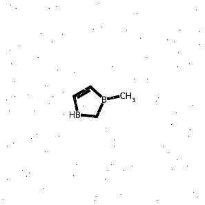 CB1C=CBC1